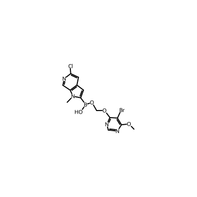 COc1ncnc(OCOB(O)c2cc3cc(Cl)ncc3n2C)c1Br